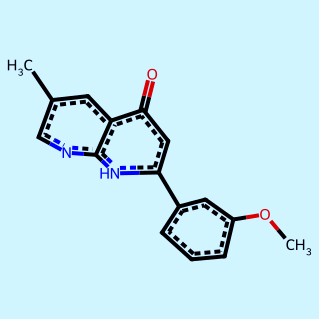 COc1cccc(-c2cc(=O)c3cc(C)cnc3[nH]2)c1